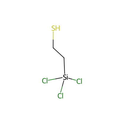 SCC[Si](Cl)(Cl)Cl